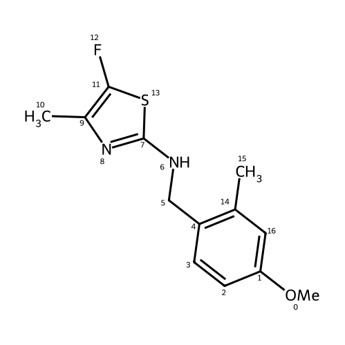 COc1ccc(CNc2nc(C)c(F)s2)c(C)c1